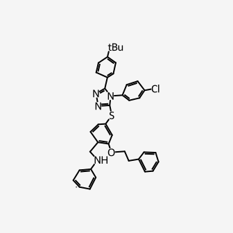 CC(C)(C)c1ccc(-c2nnc(Sc3ccc(CNc4cc[c]cc4)c(OCCc4ccccc4)c3)n2-c2ccc(Cl)cc2)cc1